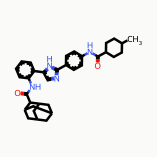 CC1CCC(C(=O)Nc2ccc(-c3ncc(-c4ccccc4NC(=O)C4C5CC6CC(C5)CC4C6)[nH]3)cc2)CC1